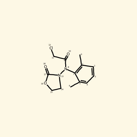 Cc1cccc(C)c1N(C(=O)CCl)N1CCOC1=O